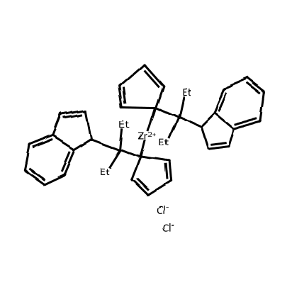 CCC(CC)(C1C=Cc2ccccc21)[C]1([Zr+2][C]2(C(CC)(CC)C3C=Cc4ccccc43)C=CC=C2)C=CC=C1.[Cl-].[Cl-]